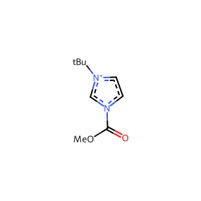 COC(=O)n1cc[n+](C(C)(C)C)c1